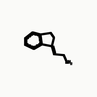 NC/C=C1\CCc2ccccc21